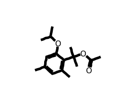 CC(=O)OC(C)(C)c1c(C)cc(C)cc1OC(C)C